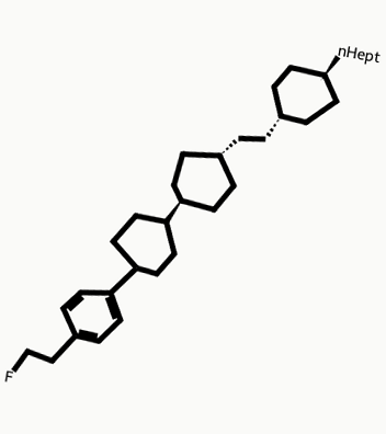 CCCCCCC[C@H]1CC[C@H](CC[C@H]2CC[C@H](C3CCC(c4ccc(CCF)cc4)CC3)CC2)CC1